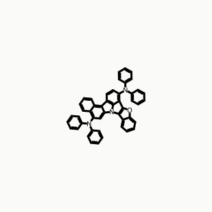 c1ccc(N(c2ccccc2)c2cc3c(c4ccccc24)c2ccc(N(c4ccccc4)c4ccccc4)c4c5oc6ccccc6c5n3c24)cc1